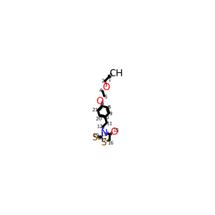 C#CCOCCOc1ccc(CCN2C(=O)CSC2=S)cc1